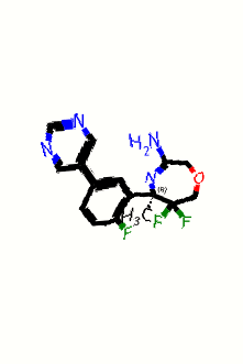 C[C@]1(c2cc(-c3cncnc3)ccc2F)N=C(N)COCC1(F)F